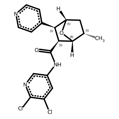 C[C@H]1C[C@@H]2O[C@H]1[C@@H](C(=O)Nc1cnc(Cl)c(Cl)c1)[C@H]2c1ccncc1